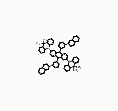 CC1(C)c2ccccc2N(c2ccc3c(-c4cccc(-c5ccc6ccccc6c5)c4)c4cc(N5c6ccccc6C(C)(C)c6ccccc65)ccc4c(-c4cccc(-c5ccc6ccccc6c5)c4)c3c2)c2ccccc21